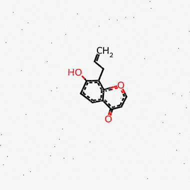 C=CCc1c(O)ccc2c(=O)ccoc12